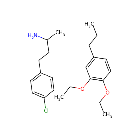 CC(N)CCc1ccc(Cl)cc1.CCCc1ccc(OCC)c(OCC)c1